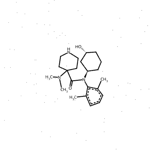 Cc1cccc(C)c1N(C(=O)C1(N(C)C)CCNCC1)[C@@H]1CCC[C@@H](O)C1